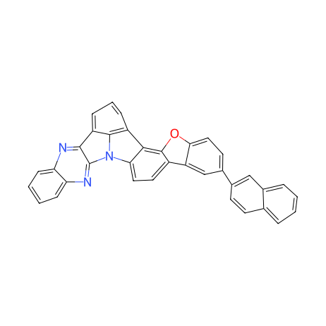 c1ccc2cc(-c3ccc4oc5c(ccc6c5c5cccc7c8nc9ccccc9nc8n6c75)c4c3)ccc2c1